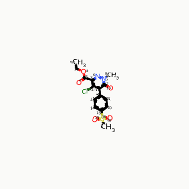 CCOC(=O)c1nn(C)c(=O)c(-c2ccc(S(C)(=O)=O)cc2)c1Cl